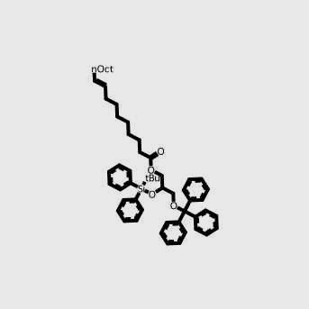 CCCCCCCCC=CCCCCCCCC(=O)OCC(COC(c1ccccc1)(c1ccccc1)c1ccccc1)O[Si](c1ccccc1)(c1ccccc1)C(C)(C)C